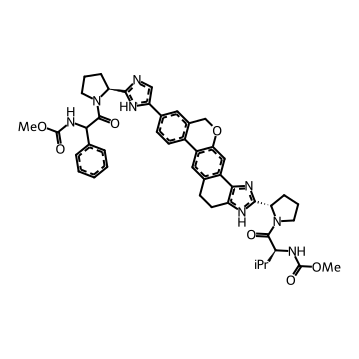 COC(=O)NC(C(=O)N1CCC[C@H]1c1ncc(-c2ccc3c(c2)COc2cc4c(cc2-3)CCc2[nH]c([C@@H]3CCCN3C(=O)[C@@H](NC(=O)OC)C(C)C)nc2-4)[nH]1)c1ccccc1